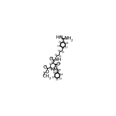 CCOC(=O)C(N)CC(C(=O)NCCCCc1ccc(C(=N)N)cc1)C(=O)OCc1ccccc1